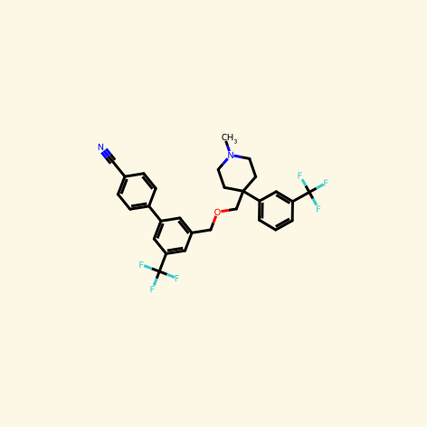 CN1CCC(COCc2cc(-c3ccc(C#N)cc3)cc(C(F)(F)F)c2)(c2cccc(C(F)(F)F)c2)CC1